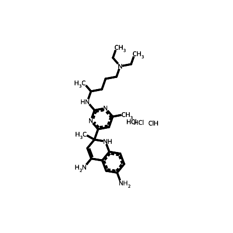 CCN(CC)CCCC(C)Nc1nc(C)cc(C2(C)C=C(N)c3cc(N)ccc3N2)n1.Cl.Cl.Cl